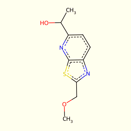 COCc1nc2ccc(C(C)O)nc2s1